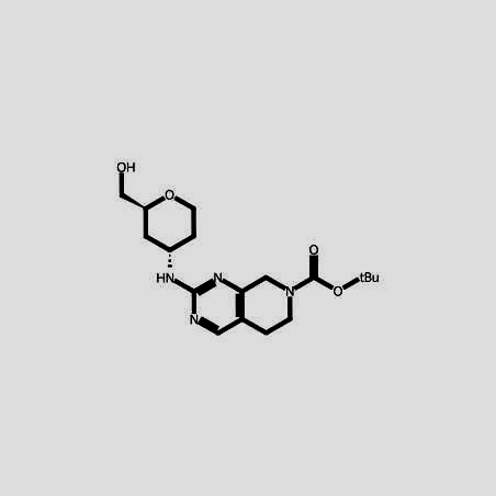 CC(C)(C)OC(=O)N1CCc2cnc(N[C@H]3CCO[C@H](CO)C3)nc2C1